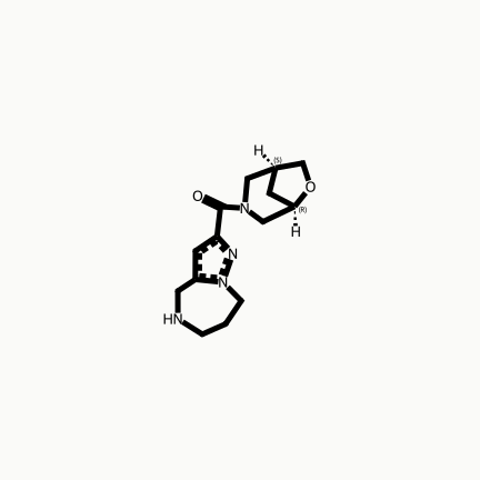 O=C(c1cc2n(n1)CCCNC2)N1C[C@H]2CO[C@H](C2)C1